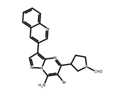 Nc1c(Br)c(C2CCN(C=O)C2)nc2c(-c3cnc4ccccc4c3)cnn12